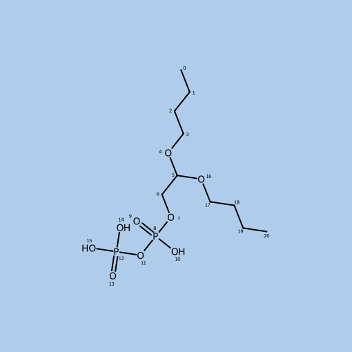 CCCCOC(COP(=O)(O)OP(=O)(O)O)OCCCC